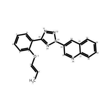 CC=COc1ccccc1-c1nnn(-c2cnc3ccccc3c2)n1